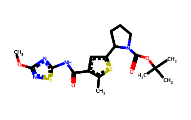 COc1nsc(NC(=O)c2cc(C3CCCN3C(=O)OC(C)(C)C)sc2C)n1